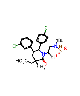 CCCCN(CC(CC)N1C(=O)C(C)(CC(=O)O)CC(c2cccc(Cl)c2)C1c1ccc(Cl)cc1)[SH](=O)=O